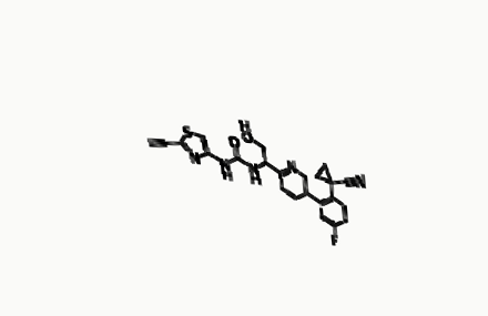 C#Cc1nc(NC(=O)N[C@@H](CO)c2ccc(-c3cc(F)ccc3C3(C#N)CC3)cn2)cs1